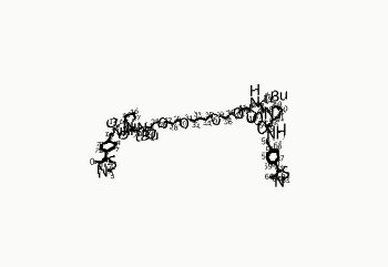 Cc1ncsc1-c1ccc(CNC(=O)[C@@H]2CCCN2C(=O)[C@@H](NC(=O)COCCCOCCCCCOCCCOCC(=O)N[C@H](C(=O)N2CCC[C@H]2C(=O)NCc2ccc(-c3scnc3C)cc2)C(C)(C)C)C(C)(C)C)cc1